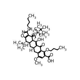 CCCCOc1noc2c1C(=O)[C@@]1(CO[Si](C)(C)C(C)(C)C)C(O)=C3C(=O)c4c(c(OC)cc(C(=O)O)c4OCCCC)C[C@H]3C[C@H]1[C@@H]2N(C)C